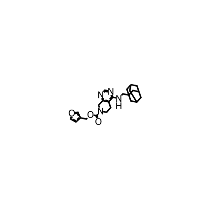 O=C(OCc1ccoc1)N1CCc2c(ncnc2NCC23CC4CC(CC(C4)C2)C3)C1